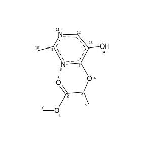 COC(=O)C(C)Oc1nc(C)ncc1O